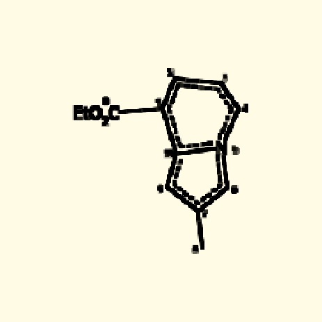 CCOC(=O)c1cccn2cc(C)cc12